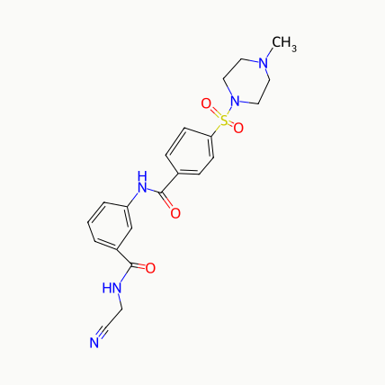 CN1CCN(S(=O)(=O)c2ccc(C(=O)Nc3cccc(C(=O)NCC#N)c3)cc2)CC1